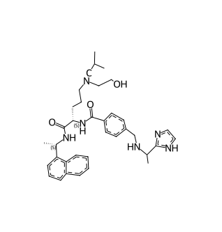 CC(C)CN(CCO)CCC[C@H](NC(=O)c1ccc(CNC(C)c2ncc[nH]2)cc1)C(=O)N[C@@H](C)c1cccc2ccccc12